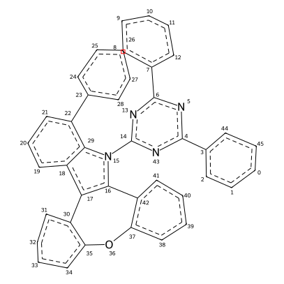 c1ccc(-c2nc(-c3ccccc3)nc(-n3c4c(c5cccc(-c6ccccc6)c53)-c3ccccc3Oc3ccccc3-4)n2)cc1